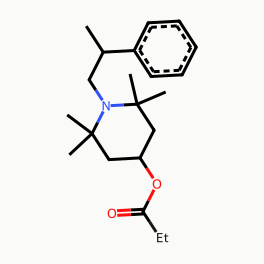 CCC(=O)OC1CC(C)(C)N(CC(C)c2ccccc2)C(C)(C)C1